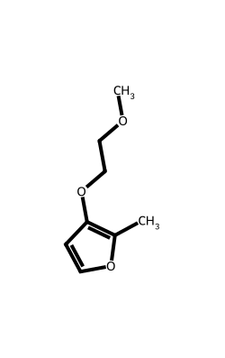 COCCOc1ccoc1C